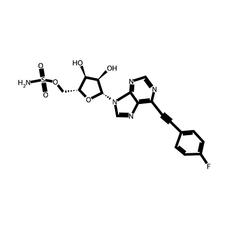 NS(=O)(=O)OC[C@H]1O[C@@H](n2cnc3c(C#Cc4ccc(F)cc4)ncnc32)[C@H](O)[C@@H]1O